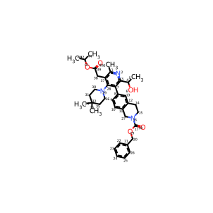 Cc1nc(C(C)O)c(-c2ccc3c(c2)CCN(C(=O)OCc2ccccc2)C3)c(N2CCC(C)(C)CC2)c1CC(=O)OC(C)C